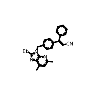 CCc1nc2c(C)cc(C)nc2n1Cc1ccc(C(=CC#N)c2ccccc2)cc1